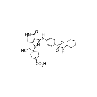 N#CCC1(n2nc(Nc3ccc(S(=O)(=O)NC4CCCCC4)cc3)c3c(=O)[nH]ccc32)CCN(C(=O)O)CC1